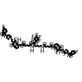 Cc1nc2n(c(=O)c1CCN1CCC(c3noc4cc(F)ccc34)CC1)CCCC2COC(=O)CCCC(=O)NC(CCCCNC(=O)CCCC(=O)OC1CCCn2c1nc(C)c(CCN1CCC(c3noc4cc(F)ccc34)CC1)c2=O)C(=O)Oc1c(F)c(F)c(F)c(F)c1F